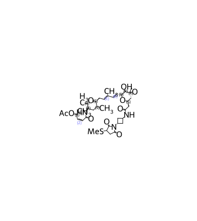 CSC1CC(=O)N([C@H]2C[C@H](NC(=O)C[C@@H]3C[C@@]4(CO4)[C@H](O)[C@@H](/C=C/C(C)=C/C[C@@H]4O[C@H](C)[C@H](NC(=O)/C=C\[C@H](C)OC(C)=O)C[C@@H]4C)O3)C2)C1=O